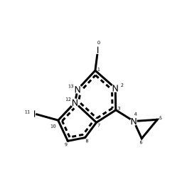 Ic1nc(N2CC2)c2ccc(I)n2n1